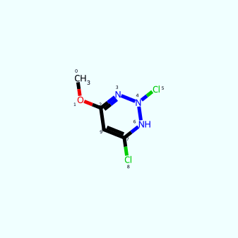 COC1=NN(Cl)NC(Cl)=C1